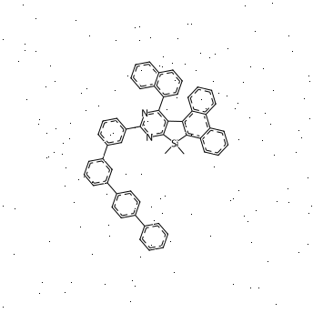 C[Si]1(C)c2nc(-c3cccc(-c4cccc(-c5ccc(-c6ccccc6)cc5)c4)c3)nc(-c3cccc4ccccc34)c2-c2c1c1ccccc1c1ccccc21